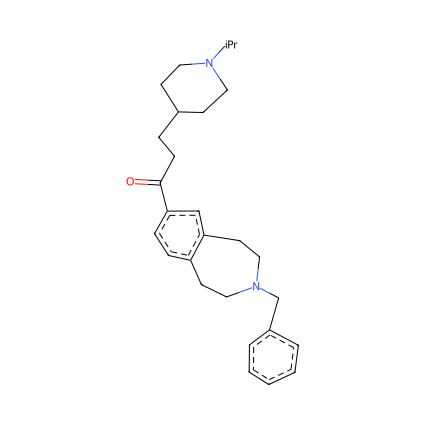 CC(C)N1CCC(CCC(=O)c2ccc3c(c2)CCN(Cc2ccccc2)CC3)CC1